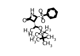 CC(O[Si](C)(C)C(C)(C)C)[C@@H]1C(=O)N[C@@H]1S(=O)(=O)c1ccccc1